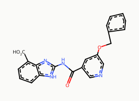 O=C(Nc1nc2c(C(=O)O)cccc2[nH]1)c1cncc(OCc2ccccc2)c1